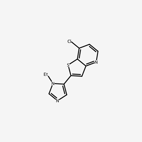 CCn1cncc1-c1cc2nccc(Cl)c2s1